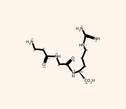 N=C(N)NCCC[C@H](NC(=O)CNC(=O)CCN)C(=O)O